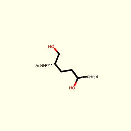 CCCCCCCC(O)CC[C@@H](CO)NC(C)=O